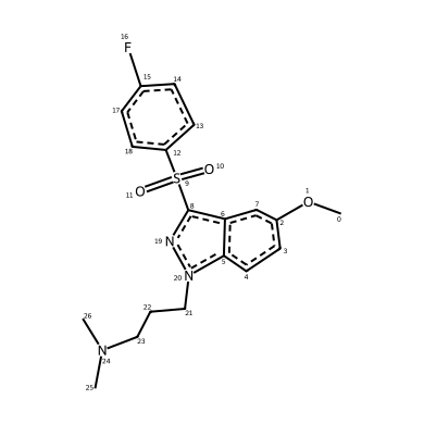 COc1ccc2c(c1)c(S(=O)(=O)c1ccc(F)cc1)nn2CCCN(C)C